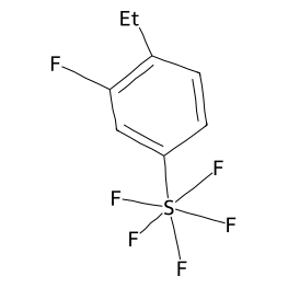 CCc1ccc(S(F)(F)(F)(F)F)cc1F